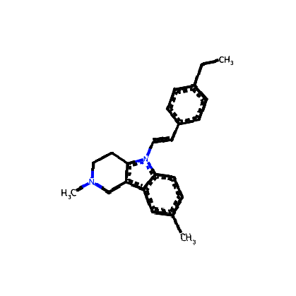 CCc1ccc(/C=C/n2c3c(c4cc(C)ccc42)CN(C)CC3)cc1